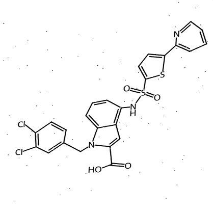 O=C(O)c1cc2c(NS(=O)(=O)c3ccc(-c4ccccn4)s3)cccc2n1Cc1ccc(Cl)c(Cl)c1